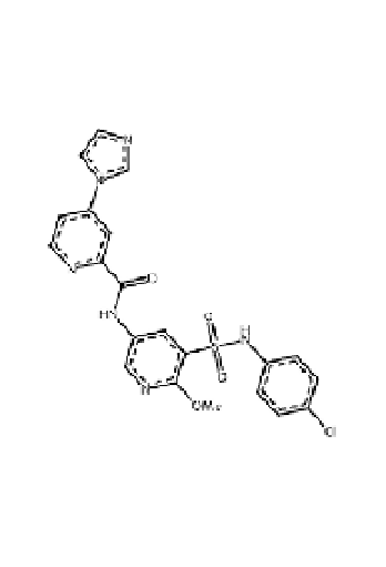 COc1ncc(NC(=O)c2cc(-n3ccnc3)ccn2)cc1S(=O)(=O)Nc1ccc(Cl)cc1